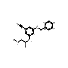 COC[C@H](C)Oc1cc(C#N)cc(OCc2ccccc2)c1